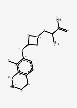 C=C(N)C(N)CN1CC(Oc2ccc3c(c2C)OBCC3)C1